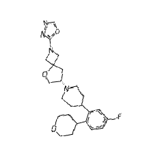 Fc1ccc(C2CCOCC2)c(C2CCN([C@@H]3COC4(C3)CN(c3nnco3)C4)CC2)c1